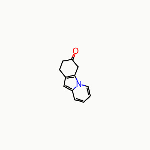 O=C1CCc2cc3ccccn3c2C1